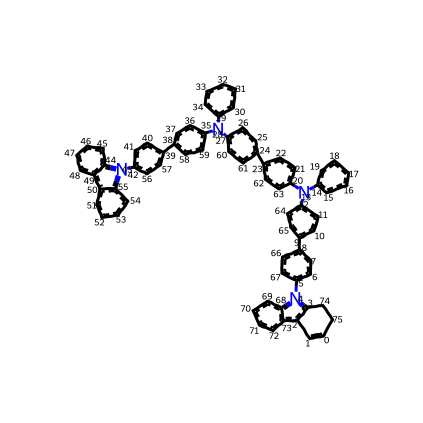 C1=Cc2c(n(-c3ccc(-c4ccc(N(c5ccccc5)c5ccc(-c6ccc(N(c7ccccc7)c7ccc(-c8ccc(-n9c%10ccccc%10c%10ccccc%109)cc8)cc7)cc6)cc5)cc4)cc3)c3ccccc23)CC1